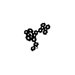 c1ccc(C2(c3ccccc3)c3ccccc3-c3cc(-c4ccc5c(c4)-c4cc(-c6ccc7sc8ccccc8c7c6)ccc4C5(c4ccccc4)n4c5ccccc5c5ccccc54)ccc32)cc1